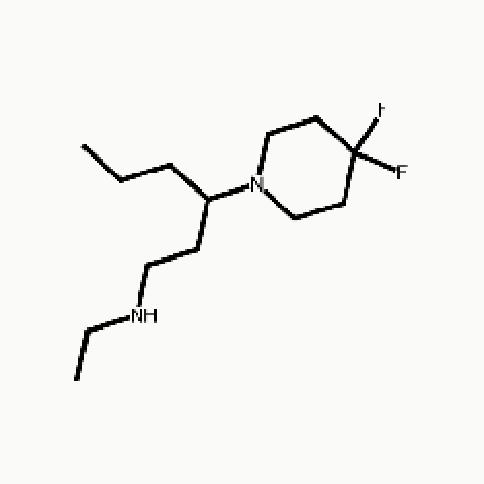 CCCC(CCNCC)N1CCC(F)(F)CC1